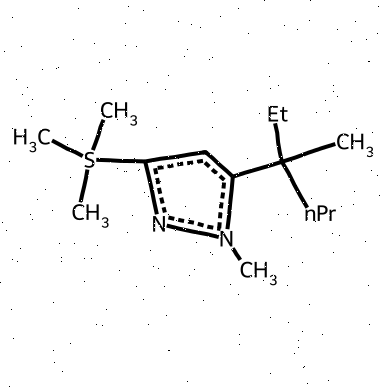 CCCC(C)(CC)c1cc(S(C)(C)C)nn1C